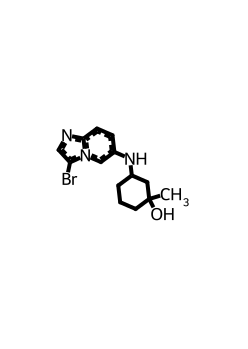 CC1(O)CCCC(Nc2ccc3ncc(Br)n3c2)C1